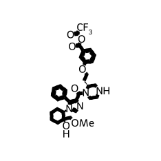 COC[C@]1(O)CCCC[C@H]1n1cnc(C(=O)N2CCNC[C@H]2CCOc2cccc(C(=O)OC(=O)C(F)(F)F)c2)c1-c1ccccc1